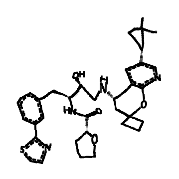 CC1(C)C[C@H]1c1cnc2c(c1)[C@@H](NC[C@H](O)[C@H](Cc1cccc(-c3nccs3)c1)NC(=O)[C@H]1CCCO1)CC1(CCC1)O2